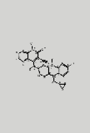 COc1cc(F)ccc1N(CC1CC1)C1CCC(N(C)c2c(C#N)c(=O)n(C)c3cccnc23)CC1